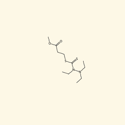 CCN(CC)N(CC)C(=S)SCCC(=O)OC